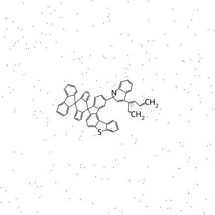 C=C/C=C(\C=C)c1cc(-c2ccc3c(c2)-c2c(ccc4sc5ccccc5c24)C32c3ccccc3C3(c4ccccc4-c4ccccc43)c3ccccc32)nc2ccccc12